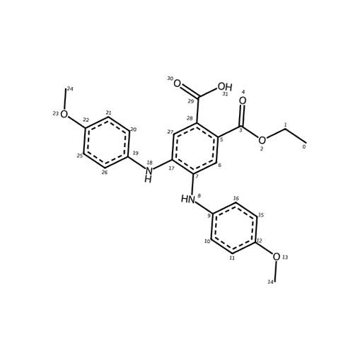 CCOC(=O)c1cc(Nc2ccc(OC)cc2)c(Nc2ccc(OC)cc2)cc1C(=O)O